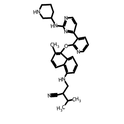 Cc1ccc2c(NCC(C#N)C(C)C)cccc2c1Oc1ncccc1-c1ccnc(NC2CCCNC2)n1